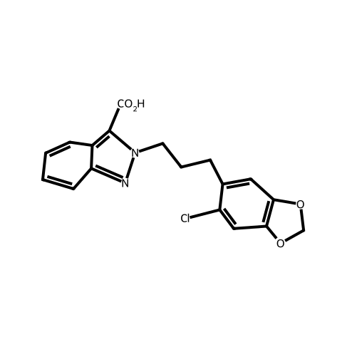 O=C(O)c1c2ccccc2nn1CCCc1cc2c(cc1Cl)OCO2